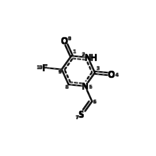 O=c1[nH]c(=O)n(C=S)cc1F